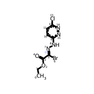 CCOC(=O)/C(Br)=N/Nc1ccc(Cl)nn1